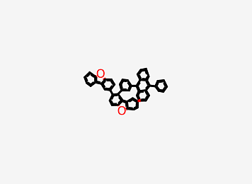 c1ccc(-c2c3ccccc3c(-c3cccc(-c4c(-c5ccc6oc7ccccc7c6c5)ccc5oc6ccccc6c45)c3)c3ccccc23)cc1